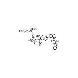 C/C(NCC12CC3(OCCN(C=O)CCC(=O)O)CC4(C)CC(C)(C1)C2(C4)C3)=C(/C=N)c1ccc(-c2ccc3c(c2)N(C(=O)Nc2nc4ccccc4s2)CCC3)nc1C(=O)O